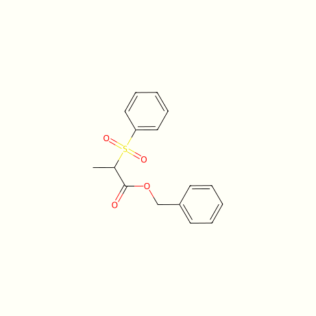 CC(C(=O)OCc1ccccc1)S(=O)(=O)c1ccccc1